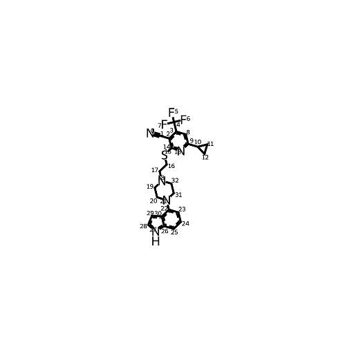 N#Cc1c(C(F)(F)F)cc(C2CC2)nc1SCCN1CCN(c2cccc3[nH]ccc23)CC1